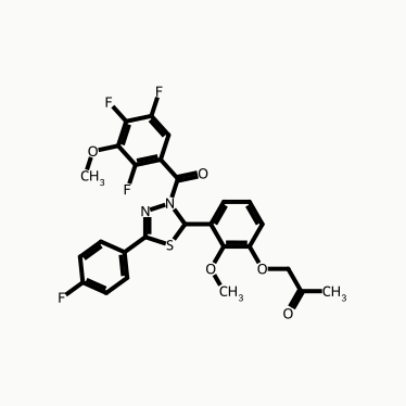 COc1c(OCC(C)=O)cccc1C1SC(c2ccc(F)cc2)=NN1C(=O)c1cc(F)c(F)c(OC)c1F